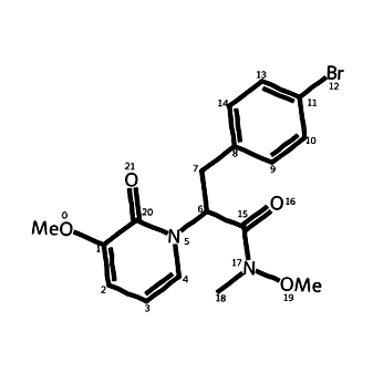 COc1cccn(C(Cc2ccc(Br)cc2)C(=O)N(C)OC)c1=O